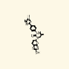 CC(C)CN(C(=O)Nc1ccc(-c2nn[nH]n2)cc1)c1ccc2nc(S)sc2n1